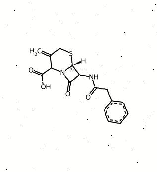 C=C1CS[C@@H]2C(NC(=O)Cc3ccccc3)C(=O)N2C1C(=O)O